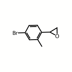 Cc1cc(Br)ccc1C1CO1